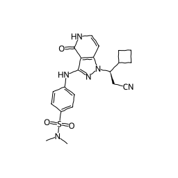 CN(C)S(=O)(=O)c1ccc(Nc2nn([C@H](CC#N)C3CCC3)c3cc[nH]c(=O)c23)cc1